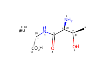 CC[C@H](C)[C@H](NC(=O)[C@@H](N)[C@@H](C)O)C(=O)O